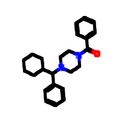 O=C(c1ccccc1)N1CCN(C(c2ccccc2)C2CCCCC2)CC1